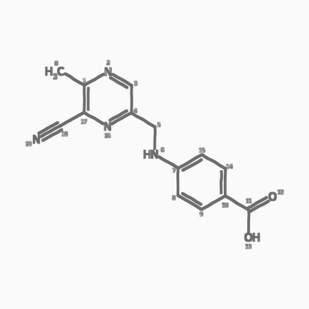 Cc1ncc(CNc2ccc(C(=O)O)cc2)nc1C#N